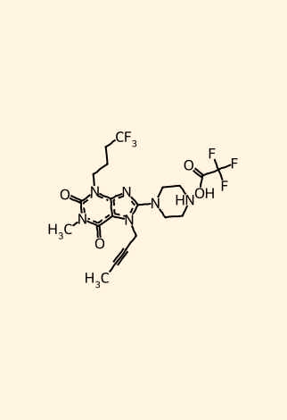 CC#CCn1c(N2CCNCC2)nc2c1c(=O)n(C)c(=O)n2CCCC(F)(F)F.O=C(O)C(F)(F)F